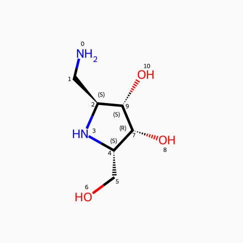 NC[C@@H]1N[C@@H](CO)[C@@H](O)[C@H]1O